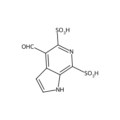 O=Cc1c(S(=O)(=O)O)nc(S(=O)(=O)O)c2[nH]ccc12